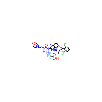 CC(Oc1ccc2nc(NC(=O)NCCN3CCOCC3)[nH]c2c1)c1c(Cl)cccc1Cl.O=C(O)C(F)(F)F